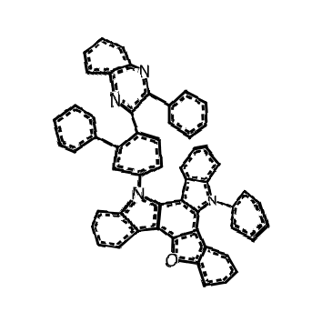 c1ccc(-c2cc(-n3c4ccccc4c4c5oc6ccccc6c5c5c(c6ccccc6n5-c5ccccc5)c43)ccc2-c2nc3ccccc3nc2-c2ccccc2)cc1